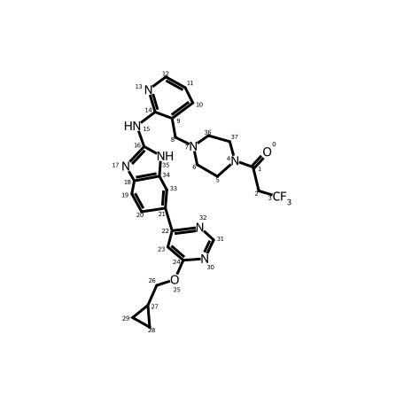 O=C(CC(F)(F)F)N1CCN(Cc2cccnc2Nc2nc3ccc(-c4cc(OCC5CC5)ncn4)cc3[nH]2)CC1